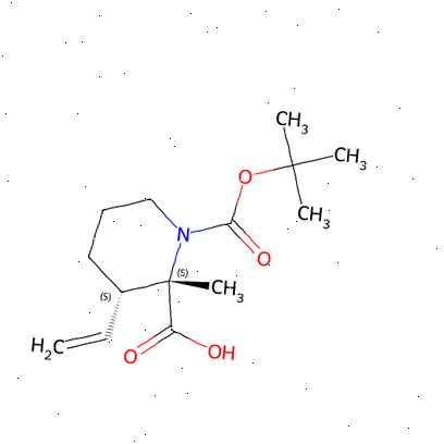 C=C[C@@H]1CCCN(C(=O)OC(C)(C)C)[C@]1(C)C(=O)O